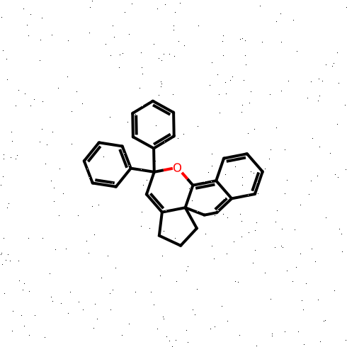 C1=C2CCCC23CC=c2ccccc2=C3OC1(c1ccccc1)c1ccccc1